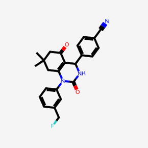 CC1(C)CC(=O)C2=C(C1)N(c1cccc(CF)c1)C(=O)NC2c1ccc(C#N)cc1